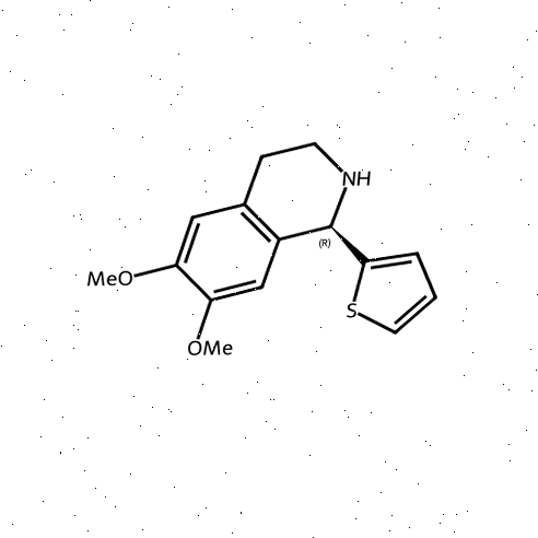 COc1cc2c(cc1OC)[C@H](c1cccs1)NCC2